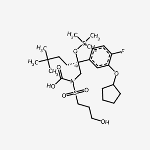 CC(C)(C)CC[C@](CN(C(=O)O)S(=O)(=O)CCCO)(O[Si](C)(C)C)c1ccc(F)c(OC2CCCC2)c1